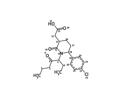 CCCC(=O)C(CC)N1C(=O)C(CC(=O)O)CCC1c1ccc(Cl)cc1